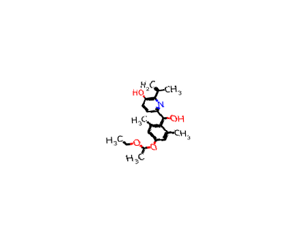 C=C(C)c1nc(C(O)c2c(C)cc(OC(C)OCC)cc2C)ccc1O